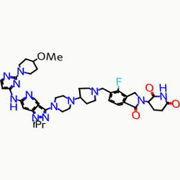 COC1CCN(c2nccc(Nc3cc4c(cn3)c(N3CCN(C5CCN(Cc6ccc7c(c6F)CN(C6CCC(=O)NC6=O)C7=O)CC5)CC3)nn4C(C)C)n2)CC1